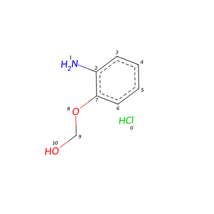 Cl.Nc1ccccc1OCO